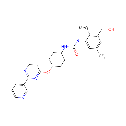 COc1c(CO)cc(C(F)(F)F)cc1NC(=O)NC1CCC(Oc2ccnc(-c3cccnc3)n2)CC1